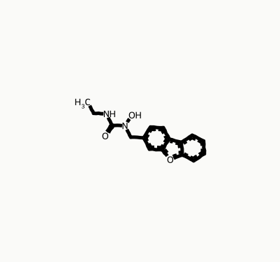 CCNC(=O)N(O)Cc1ccc2c(c1)oc1ccccc12